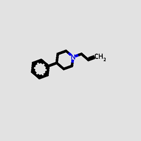 C=CCN1CCC(c2ccccc2)CC1